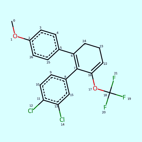 COc1ccc(C2=C(c3ccc(Cl)c(Cl)c3)C(OC(F)(F)F)=CC[CH]2)cc1